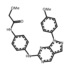 COCC(=O)Nc1ccc(Nc2ncc3cnn(-c4ccc(OC)cc4)c3n2)cc1